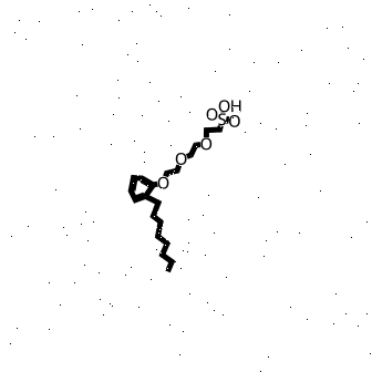 CCCCCCCCc1ccccc1OCCOCCOCCS(=O)(=O)O